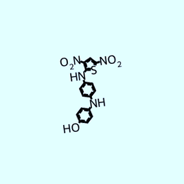 O=[N+]([O-])c1cc([N+](=O)[O-])c(Nc2ccc(Nc3ccc(O)cc3)cc2)s1